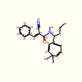 CCCC(C1=CC=CC(C)(I)C=C1)N(C)C(=O)/C(C#N)=C/c1ccccc1